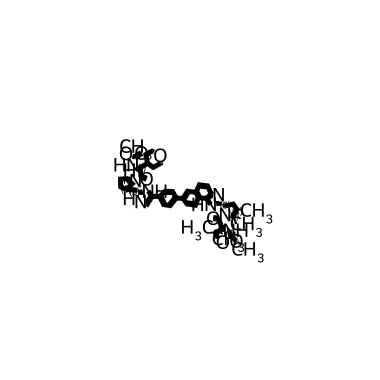 COC(=O)N[C@H](C(=O)N1[C@H](C)[C@H](C)C[C@H]1c1nc2ccc3cc(-c4ccc(-c5cnc([C@@H]6[C@H]7CC[C@H](C7)N6C(=O)[C@@H](NC(=O)OC)C6CCOCC6)[nH]5)cc4)ccc3c2[nH]1)C(C)C